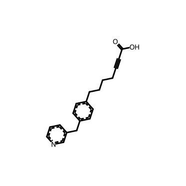 O=C(O)C#CCCCCc1ccc(Cc2cccnc2)cc1